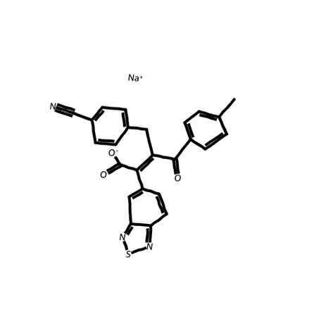 Cc1ccc(C(=O)/C(Cc2ccc(C#N)cc2)=C(/C(=O)[O-])c2ccc3nsnc3c2)cc1.[Na+]